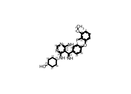 COc1cccc(Oc2ccc(C(=N)c3c(N)ncnc3N[C@H]3CC[C@@H](O)CC3)cc2)c1F